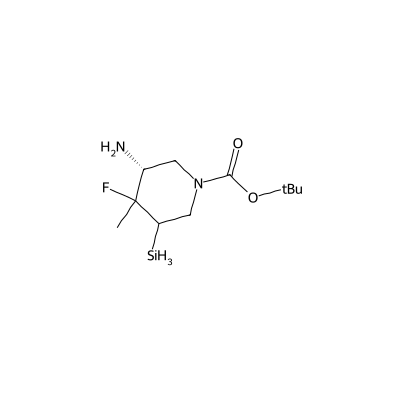 CC(C)(C)OC(=O)N1CC([SiH3])C(C)(F)[C@H](N)C1